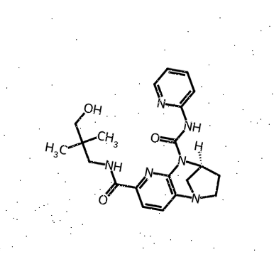 CC(C)(CO)CNC(=O)c1ccc2c(n1)N(C(=O)Nc1ccccn1)[C@H]1CCN2C1